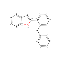 [CH](c1ccccc1)c1ccccc1-c1cc2ccccc2o1